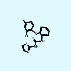 O=C(Nc1nccs1)Nc1ccccc1Sc1ccc(F)cc1Cl